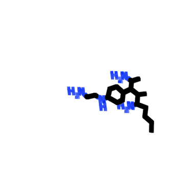 CCCCC(N)C(C)C(C(C)N)C1CCC(NCCN)CC1